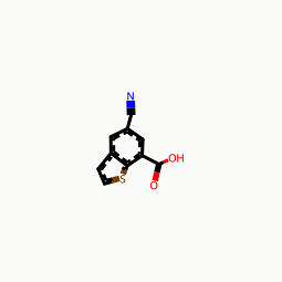 N#Cc1cc(C(=O)O)c2sccc2c1